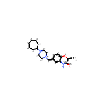 CC1Oc2ccc(CN3CCN(C4CCCCCC4)CC3)cc2NC1=O